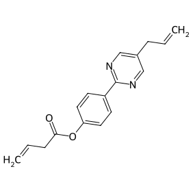 C=CCC(=O)Oc1ccc(-c2ncc(CC=C)cn2)cc1